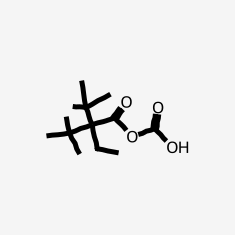 CCC(C(=O)OC(=O)O)(C(C)(C)C)C(C)(C)C